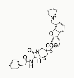 O=C(Cc1ccccc1)N[C@@H]1C(=O)N2CC(Sc3ccc4c(c3)oc3c(C[n+]5ccccc5)cccc34)(C(=O)[O-])CS[C@H]12